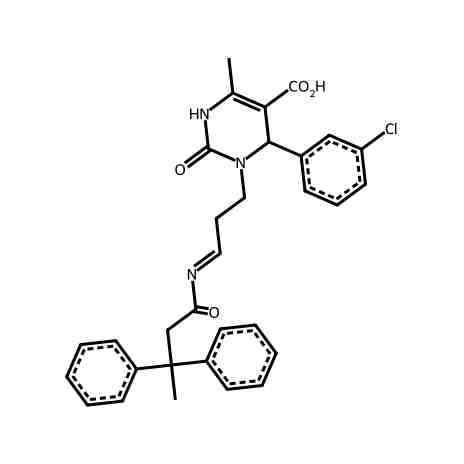 CC1=C(C(=O)O)C(c2cccc(Cl)c2)N(CCC=NC(=O)CC(C)(c2ccccc2)c2ccccc2)C(=O)N1